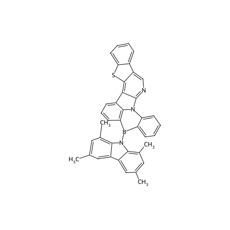 Cc1cc(C)c2c(c1)c1cc(C)cc(C)c1n2B1c2ccccc2-n2c3ncc4c5ccccc5sc4c3c3cccc1c32